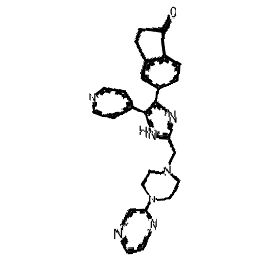 O=C1CCc2cc(-c3nc(CN4CCN(c5cnccn5)CC4)[nH]c3-c3ccncc3)ccc21